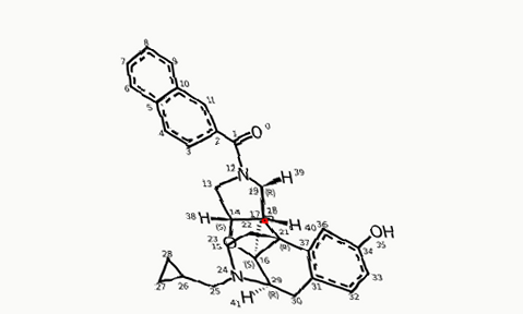 O=C(c1ccc2ccccc2c1)N1C[C@H]2O[C@@]34CC[C@@H]1[C@@H]2[C@@]31CCN(CC2CC2)[C@@H]4Cc2ccc(O)cc21